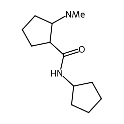 CNC1CCCC1C(=O)NC1CCCC1